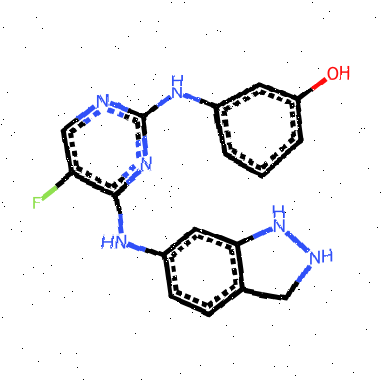 Oc1cccc(Nc2ncc(F)c(Nc3ccc4c(c3)NNC4)n2)c1